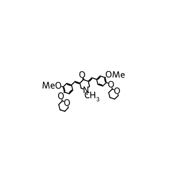 COc1cc(/C=C2\CN(C)C/C(=C\c3ccc(OC4CCCCO4)c(OC)c3)C2=O)ccc1OC1CCCCO1